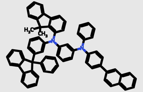 CC1(C)c2ccccc2-c2cccc(N(c3cccc(N(c4ccccc4)c4ccc(-c5ccc6ccccc6c5)cc4)c3)c3cccc(C4(c5ccccc5)c5ccccc5-c5ccccc54)c3)c21